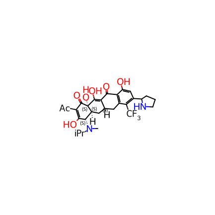 CC(=O)C1=C(O)[C@@H](N(C)C(C)C)[C@@H]2C[C@@H]3Cc4c(c(O)cc(C5CCCN5)c4C(F)(F)F)C(=O)C3=C(O)[C@]2(O)C1=O